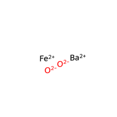 [Ba+2].[Fe+2].[O-2].[O-2]